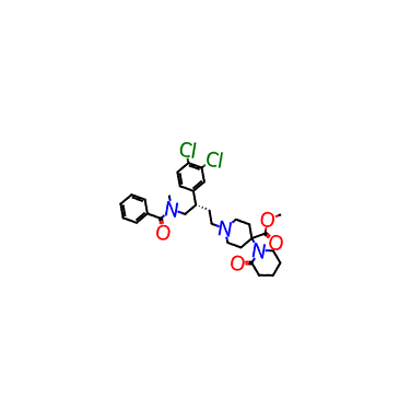 COC(=O)C1(N2CCCCC2=O)CCN(CC[C@H](CN(C)C(=O)c2ccccc2)c2ccc(Cl)c(Cl)c2)CC1